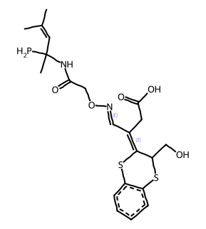 CC(C)=CC(C)(P)NC(=O)CO/N=C/C(CC(=O)O)=C1\Sc2ccccc2SC1CO